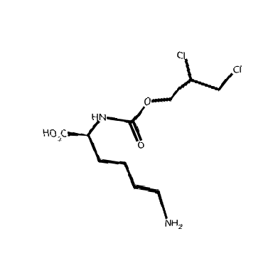 NCCCC[C@H](NC(=O)OCC(Cl)CCl)C(=O)O